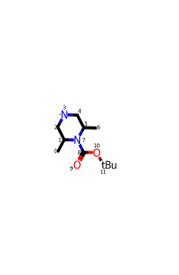 CC1C[N]CC(C)N1C(=O)OC(C)(C)C